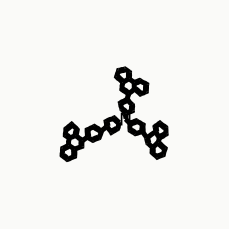 c1ccc2c(c1)cc(-c1ccc(-c3ccc(N(c4ccc(-c5cc6ccccc6c6ccccc56)cc4)c4ccc(-c5cc6ccccc6c6ccccc56)cc4)cc3)cc1)c1ccccc12